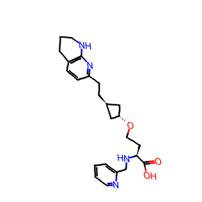 O=C(O)[C@H](CCO[C@H]1C[C@H](CCc2ccc3c(n2)NCCC3)C1)NCc1ccccn1